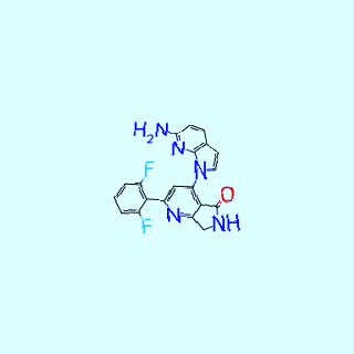 Nc1ccc2ccn(-c3cc(-c4c(F)cccc4F)nc4c3C(=O)NC4)c2n1